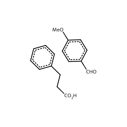 COc1ccc(C=O)cc1.O=C(O)CCc1ccccc1